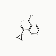 O=C(c1[c]cccc1C(F)F)C1CC1